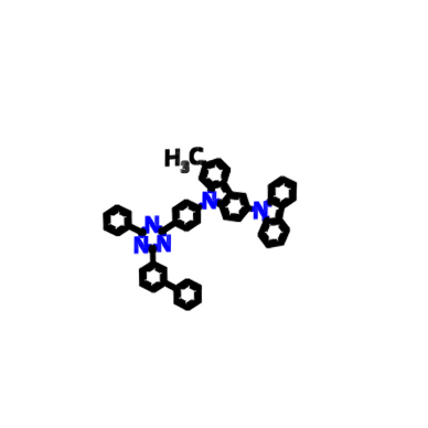 Cc1ccc2c3cc(-n4c5ccccc5c5ccccc54)ccc3n(-c3ccc(-c4nc(-c5ccccc5)nc(-c5cccc(-c6ccccc6)c5)n4)cc3)c2c1